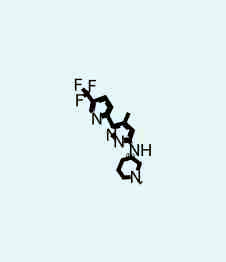 Cc1cc(N[C@@H]2CCCN(C)C2)nnc1-c1ccc(C(F)(F)F)cn1